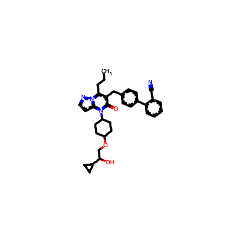 CCCc1c(Cc2ccc(-c3ccccc3C#N)cc2)c(=O)n(C2CCC(OCC(O)C3CC3)CC2)c2ccnn12